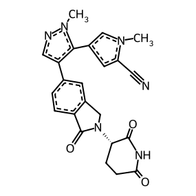 Cn1cc(-c2c(-c3ccc4c(c3)CN([C@H]3CCC(=O)NC3=O)C4=O)cnn2C)cc1C#N